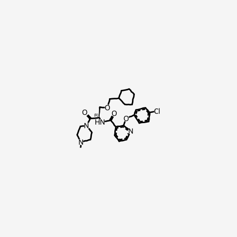 CN1CCN(C(=O)[C@@H](COCC2CCCCC2)NC(=O)c2cccnc2Oc2ccc(Cl)cc2)CC1